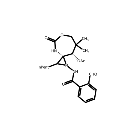 CCCCCC1N(NC(=O)c2ccccc2C=O)[C@@]12NC(=O)OCC(C)(C)[C@@H]2OC(C)=O